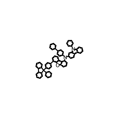 c1ccc(-c2ccc(N(c3ccc4c5ccccc5n(-c5ccccc5)c4c3)c3cccc4oc5c(-c6ccc(C7(c8ccccc8)c8ccccc8-c8ccccc87)cc6)cccc5c34)cc2)cc1